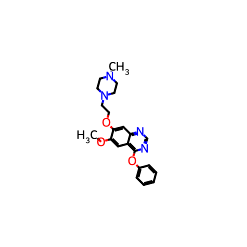 COc1cc2c(Oc3ccccc3)ncnc2cc1OCCN1CCN(C)CC1